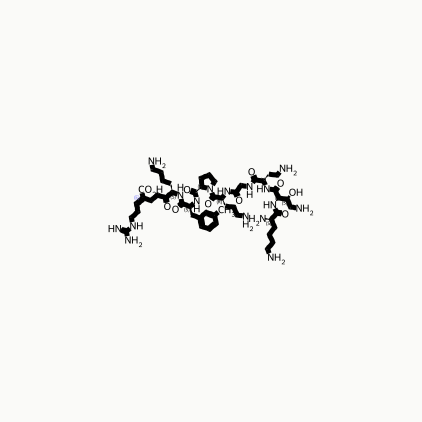 Cc1cccc(C[C@H](NC(=O)[C@@H]2CCCN2C(=O)[C@@H](CCCN)NC(=O)CNC(=O)[C@H](CCN)NC(=O)[C@@H](NC(=O)[C@@H](N)CCCCN)[C@@H](O)CN)C(=O)N[C@@H](CCCCN)C(=O)CC/C(=C\CCNC(=N)N)C(=O)O)c1